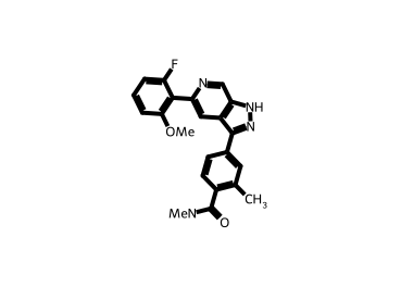 CNC(=O)c1ccc(-c2n[nH]c3cnc(-c4c(F)cccc4OC)cc23)cc1C